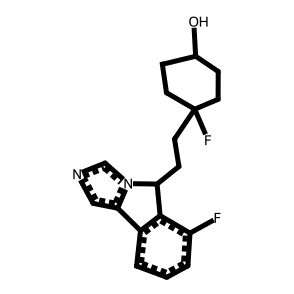 OC1CCC(F)(CCC2c3c(F)cccc3-c3cncn32)CC1